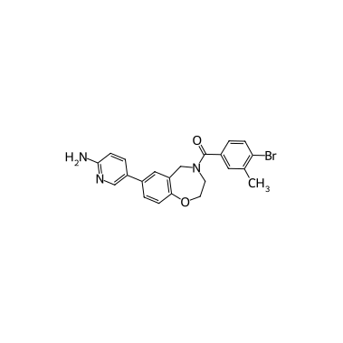 Cc1cc(C(=O)N2CCOc3ccc(-c4ccc(N)nc4)cc3C2)ccc1Br